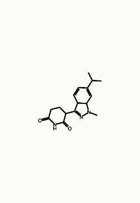 CC(C)C1=CC2C(C=C1)C(C1CCC(=O)NC1=O)=NN2C